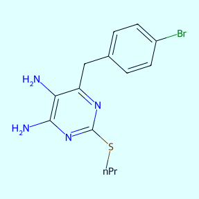 CCCSc1nc(N)c(N)c(Cc2ccc(Br)cc2)n1